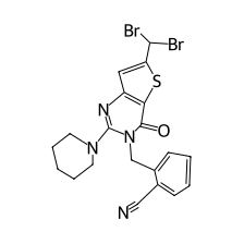 N#Cc1ccccc1Cn1c(N2CCCCC2)nc2cc(C(Br)Br)sc2c1=O